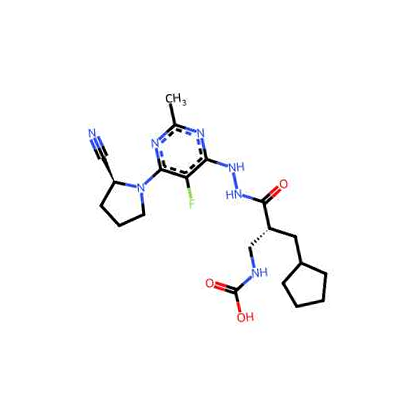 Cc1nc(NNC(=O)[C@@H](CNC(=O)O)CC2CCCC2)c(F)c(N2CCC[C@H]2C#N)n1